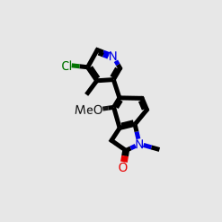 COc1c(-c2cncc(Cl)c2C)ccc2c1CC(=O)N2C